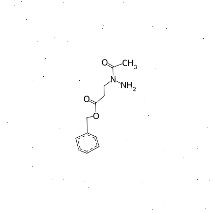 CC(=O)N(N)CCC(=O)OCc1ccccc1